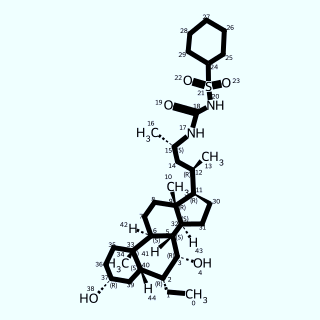 CC[C@H]1[C@@H](O)[C@@H]2[C@H](CC[C@]3(C)[C@@H]([C@H](C)C[C@H](C)NC(=O)NS(=O)(=O)C4CCCCC4)CC[C@@H]23)[C@@]2(C)CC[C@@H](O)C[C@@H]12